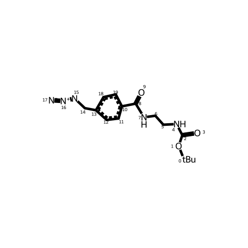 CC(C)(C)OC(=O)NCCNC(=O)c1ccc(CN=[N+]=[N-])cc1